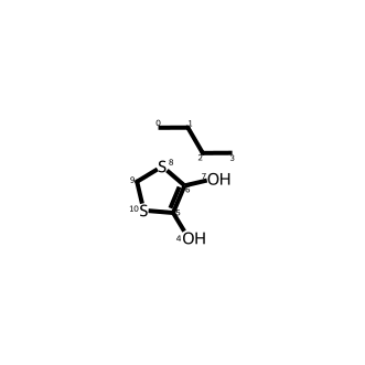 CCCC.OC1=C(O)SCS1